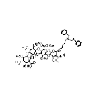 CCC1O[C@H](O[C@H]2C(C)C(OC(C)=O)[C@H](O[C@H]3C(C)C(N=[N+]=[N-])[C@@H](OCCCCCN(CC(=O)c4ccccc4)Cc4ccccc4)O[C@H]3CC)O[C@H]2C(=O)OC)C(N=[N+]=[N-])[C@@H](C)[C@@H]1O[C@@H]1OC(C(=O)OC)[C@@H](C)[C@H](C)C1OC(C)=O